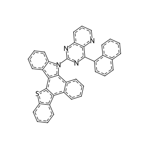 c1ccc2c(-c3nc(-n4c5ccccc5c5c6sc7ccccc7c6c6ccccc6c54)nc4cccnc34)cccc2c1